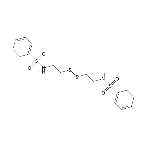 O=S(=O)(NCCSSCCNS(=O)(=O)c1ccccc1)c1ccccc1